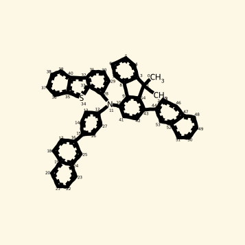 CC1(C)c2ccccc2-c2c(N(c3ccc(-c4ccc5ccccc5c4)cc3)c3cccc4c3sc3ccccc34)ccc(-c3ccc4ccccc4c3)c21